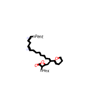 CCCCC/C=C\C/C=C\CCCCCCCC(CC1OC(=O)C1CCCCCC)C1CCCCO1